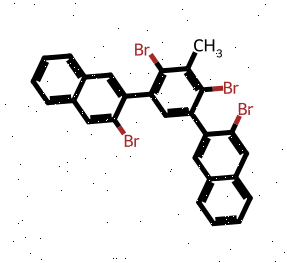 Cc1c(Br)c(-c2cc3ccccc3cc2Br)cc(-c2cc3ccccc3cc2Br)c1Br